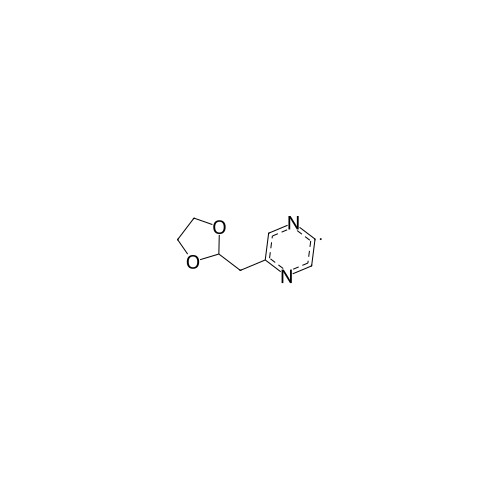 [c]1cnc(CC2OCCO2)cn1